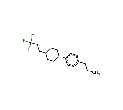 CCCc1ccc([C@H]2CC[C@H](CCC(F)(F)F)CC2)cc1